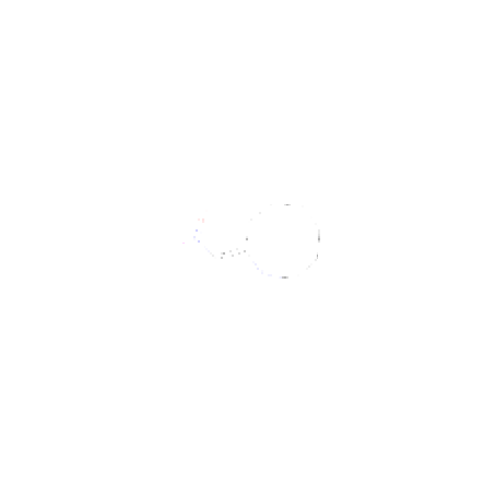 O=[N+]([O-])C=C1CCCCCCN1